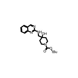 CC(C)(C)OC(=O)N1CCC(O)(CNc2ncc3ccccc3n2)CC1